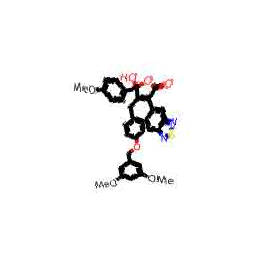 COc1ccc(C2(O)OC(=O)C(c3ccc4nsnc4c3)=C2Cc2ccc(OCc3cc(OC)cc(OC)c3)cc2)cc1